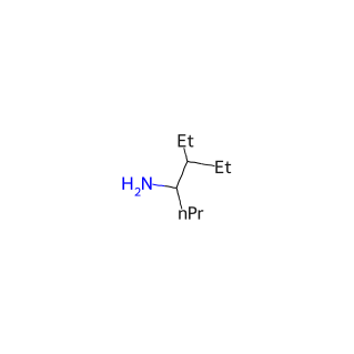 CCCC(N)C(CC)CC